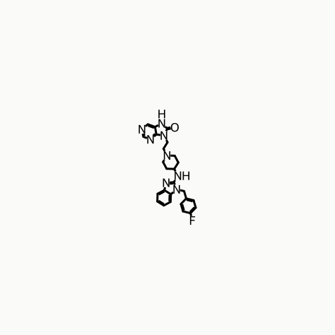 O=c1[nH]c2cncnc2n1CCN1CCC(Nc2nc3ccccc3n2Cc2ccc(F)cc2)CC1